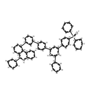 O=P(c1ccccc1)(c1ccccc1)c1ccc(-c2cc(-c3ccc(-c4cccc(-c5cccc6c(-c7ccccc7)nc7ccccc7c56)c4)cc3)nc(-c3ccccc3)n2)cc1